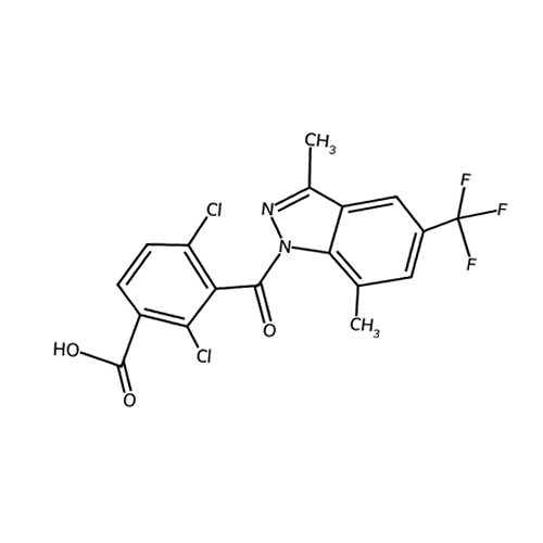 Cc1nn(C(=O)c2c(Cl)ccc(C(=O)O)c2Cl)c2c(C)cc(C(F)(F)F)cc12